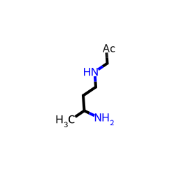 CC(=O)CNCCC(C)N